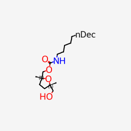 CCCCCCCCCCCCCCCNC(=O)OC[C@@]1(C)CC[C@@](C)(CO)O1